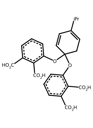 CC(C)C1=CCC(Oc2cccc(C(=O)O)c2C(=O)O)(Oc2cccc(C(=O)O)c2C(=O)O)C=C1